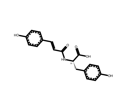 O=C(C=Cc1ccc(O)cc1)N[C@@H](Cc1ccc(O)cc1)C(=O)O